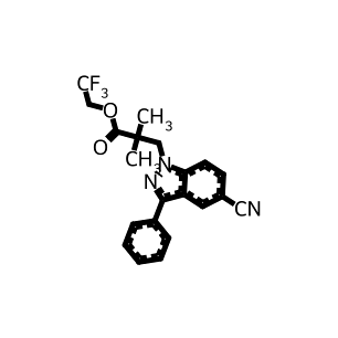 CC(C)(Cn1nc(-c2ccccc2)c2cc(C#N)ccc21)C(=O)OCC(F)(F)F